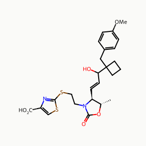 COc1ccc(CC2(C(O)/C=C/[C@H]3[C@H](C)OC(=O)N3CCSc3nc(C(=O)O)cs3)CCC2)cc1